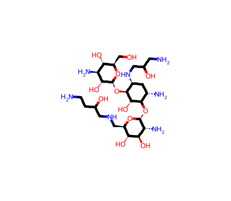 NCCC(O)CNC[C@H]1O[C@H](OC2[C@@H](N)C[C@@H](NCC(O)CN)[C@H](O[C@H]3O[C@H](CO)[C@@H](O)[C@H](N)[C@H]3O)[C@H]2O)[C@H](N)[C@@H](O)[C@@H]1O